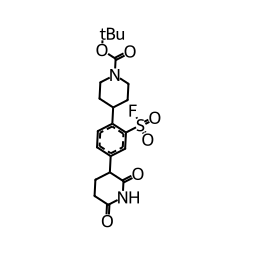 CC(C)(C)OC(=O)N1CCC(c2ccc(C3CCC(=O)NC3=O)cc2S(=O)(=O)F)CC1